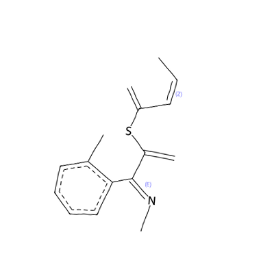 C=C(/C=C\C)SC(=C)/C(=N/C)c1ccccc1C